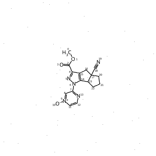 COC(=O)c1nn(-c2c[n+]([O-])ccn2)c2c1CC1(C#N)CCCC21